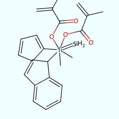 C=C(C)C(=O)[O][Ti]([CH3])([CH3])(=[SiH2])([O]C(=O)C(=C)C)([C]1=CC=CC1)[CH]1C=Cc2ccccc21